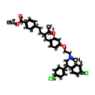 CN(CCOc1ccc(CC(CCc2ccc(C(=O)OC(C)(C)C)cc2)C(=O)C(F)(F)F)cc1)CC(c1ccc(Cl)cc1)c1ccc(Cl)cc1